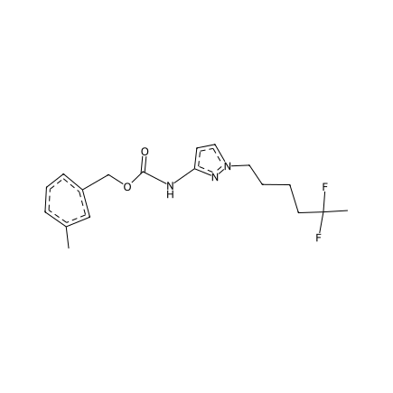 Cc1cccc(COC(=O)Nc2ccn(CCCCC(C)(F)F)n2)c1